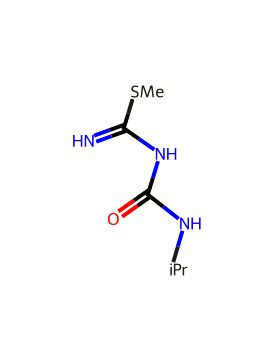 CSC(=N)NC(=O)NC(C)C